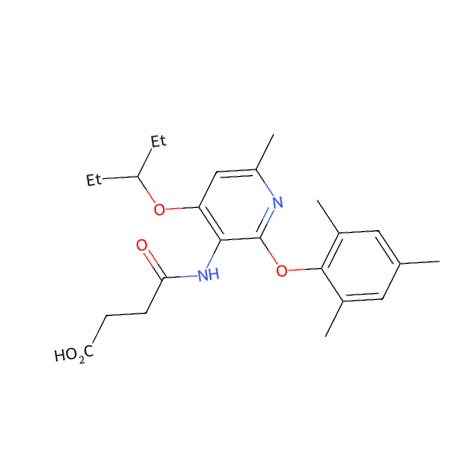 CCC(CC)Oc1cc(C)nc(Oc2c(C)cc(C)cc2C)c1NC(=O)CCC(=O)O